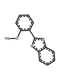 SOc1ccccc1-c1nc2ccccc2s1